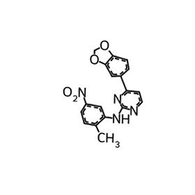 Cc1ccc([N+](=O)[O-])cc1Nc1nccc(-c2ccc3c(c2)OCO3)n1